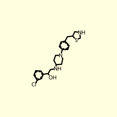 OC(CNC1CCN(c2ccc(CC3CNCS3)cc2)CC1)c1cccc(Cl)c1